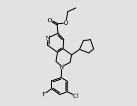 CCOC(=O)c1cc2c(cn1)CN(c1cc(F)cc(Cl)c1)CC2C1CCCC1